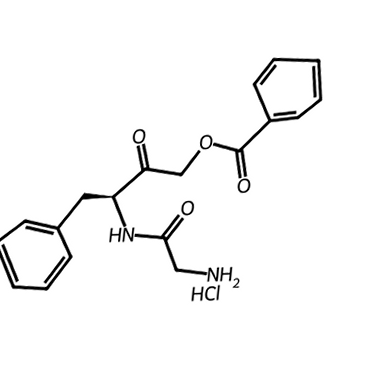 Cl.NCC(=O)N[C@@H](Cc1ccccc1)C(=O)COC(=O)c1ccccc1